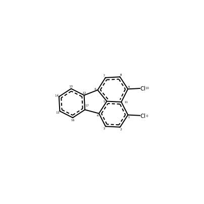 Clc1ccc2c3c(ccc(Cl)c13)-c1ccccc1-2